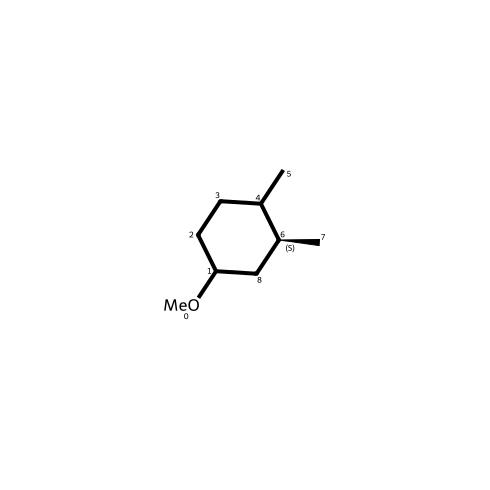 COC1CCC(C)[C@@H](C)C1